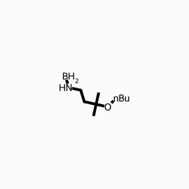 BNCCC(C)(C)OCCCC